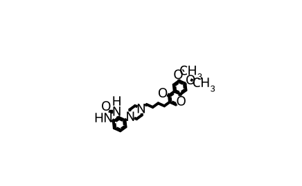 COc1cc2occ(CCCCN3CCN(c4cccc5[nH]c(=O)[nH]c45)CC3)c(=O)c2cc1OC